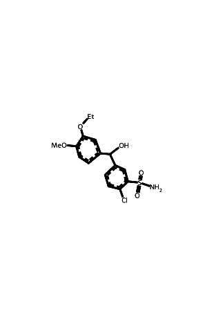 CCOc1cc(C(O)c2ccc(Cl)c(S(N)(=O)=O)c2)ccc1OC